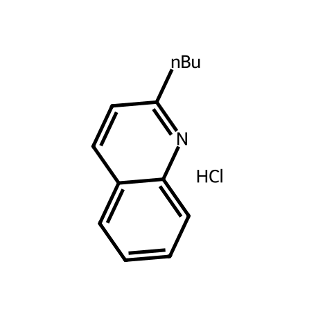 CCCCc1ccc2ccccc2n1.Cl